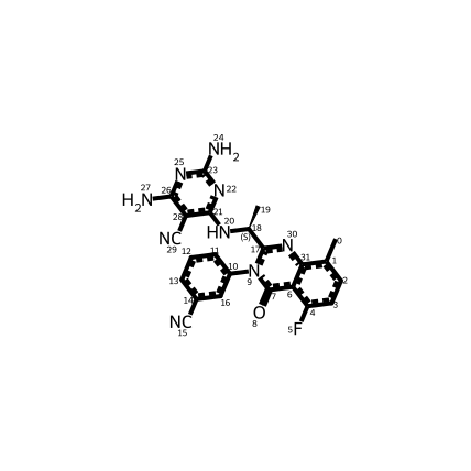 Cc1ccc(F)c2c(=O)n(-c3cccc(C#N)c3)c([C@H](C)Nc3nc(N)nc(N)c3C#N)nc12